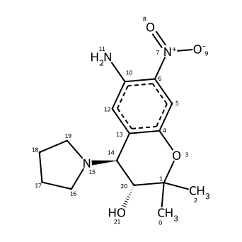 CC1(C)Oc2cc([N+](=O)[O-])c(N)cc2[C@H](N2CCCC2)[C@H]1O